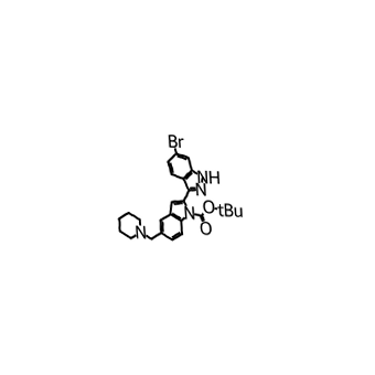 CC(C)(C)OC(=O)n1c(-c2n[nH]c3cc(Br)ccc23)cc2cc(CN3CCCCC3)ccc21